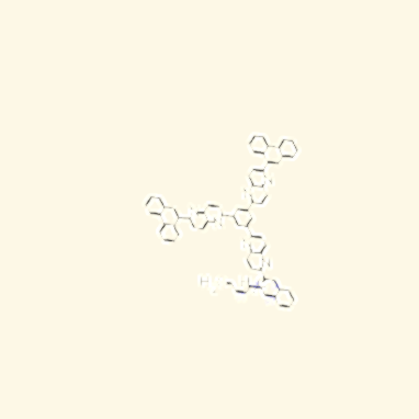 C=C\C=C/C=C\C=c1\cccc\c1=C\C(=C)c1ccc2nc(-c3cc(-c4ccc5nc(-c6cc7ccccc7c7ccccc67)ccc5n4)cc(-c4ccc5nc(-c6cc7ccccc7c7ccccc67)ccc5n4)c3)ccc2n1